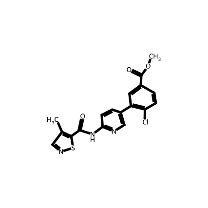 COC(=O)c1ccc(Cl)c(-c2ccc(NC(=O)c3sncc3C)nc2)c1